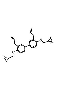 C=CCc1cc(-c2ccc(OCC3CO3)c(CC=C)c2)ccc1OCC1CO1